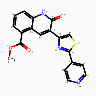 COC(=O)c1cccc2[nH]c(=O)c(-c3csc(-c4ccncc4)n3)cc12